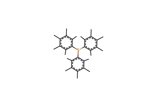 Cc1c(C)c(C)c([S+](c2c(C)c(C)c(C)c(C)c2C)c2c(C)c(C)c(C)c(C)c2C)c(C)c1C